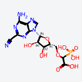 N#Cc1nc(N)c2ncn([C@@H]3O[C@H](COC(C(=O)O)P(=O)(O)O)[C@@H](O)[C@H]3O)c2n1